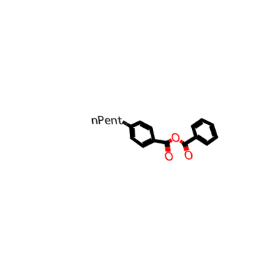 CCCCCc1ccc(C(=O)OC(=O)c2ccccc2)cc1